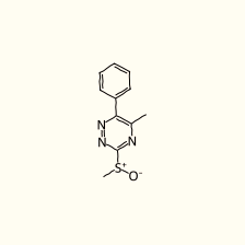 Cc1nc([S+](C)[O-])nnc1-c1ccccc1